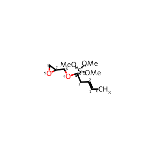 C/C=C/CC(OCC1CO1)[Si](OC)(OC)OC